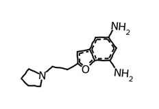 Nc1cc(N)c2oc(CCN3CCCC3)cc2c1